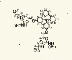 CCCCNC(=O)OC(COCC1(CC)COC1)COc1ccc(C2(c3ccc(OCC(COCC4(CC)COC4)OC(=O)NCCC)cc3)c3ccccc3-c3ccccc32)cc1